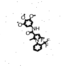 COc1cc(NC(=O)c2cc(C)n(-c3ccccc3C(F)(F)F)c2C)cc(OC)c1OC